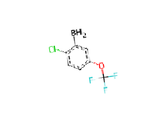 Bc1cc(OC(F)(F)F)ccc1Cl